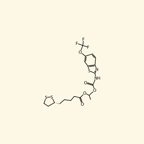 CC(OC(=O)CCCC[C@@H]1CCSS1)OC(=O)Nc1nc2ccc(OC(F)(F)F)cc2s1